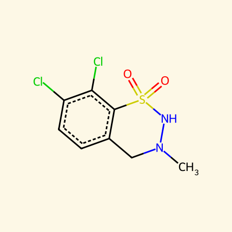 CN1Cc2ccc(Cl)c(Cl)c2S(=O)(=O)N1